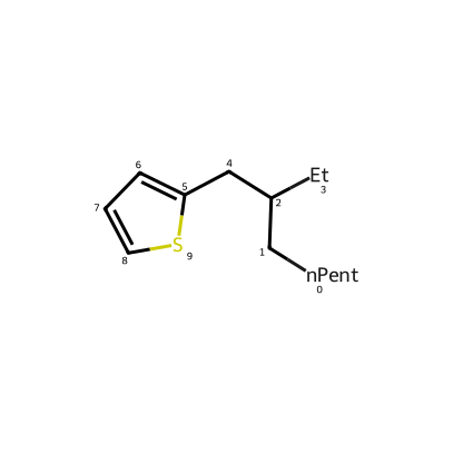 CCCCCCC(CC)Cc1cccs1